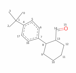 CC(C)(C)c1ccc(C2CCCCC2C=O)cc1